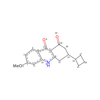 COc1ccc2c(=O)c3c([nH]c2c1)CC(C1CCC1)CC3=O